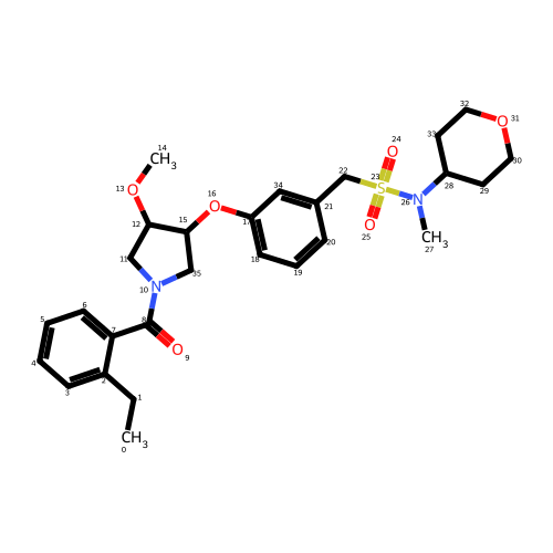 CCc1ccccc1C(=O)N1CC(OC)C(Oc2cccc(CS(=O)(=O)N(C)C3CCOCC3)c2)C1